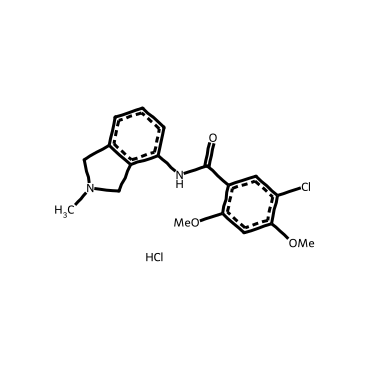 COc1cc(OC)c(C(=O)Nc2cccc3c2CN(C)C3)cc1Cl.Cl